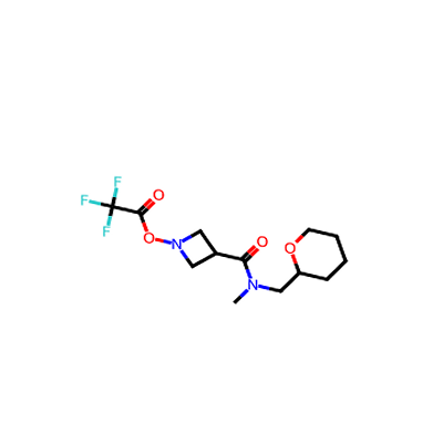 CN(CC1CCCCO1)C(=O)C1CN(OC(=O)C(F)(F)F)C1